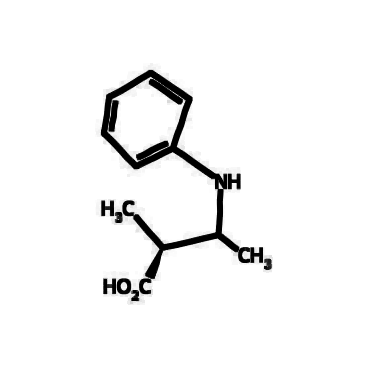 CC(Nc1ccccc1)[C@H](C)C(=O)O